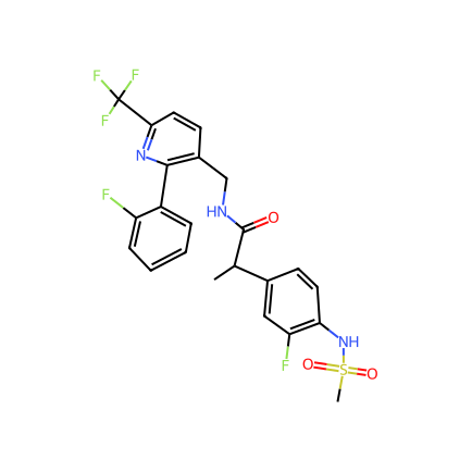 CC(C(=O)NCc1ccc(C(F)(F)F)nc1-c1ccccc1F)c1ccc(NS(C)(=O)=O)c(F)c1